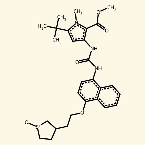 COC(=O)c1c(NC(=O)Nc2ccc(OCCC3CC[S+]([O-])C3)c3ccccc23)cc(C(C)(C)C)n1C